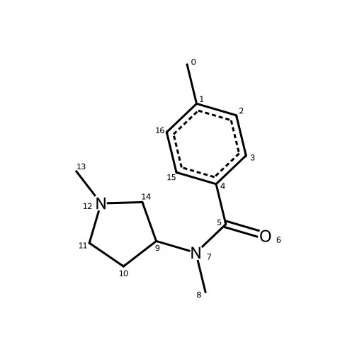 Cc1ccc(C(=O)N(C)C2CCN(C)C2)cc1